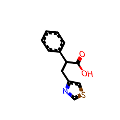 O=C(O)C(Cc1cscn1)c1ccccc1